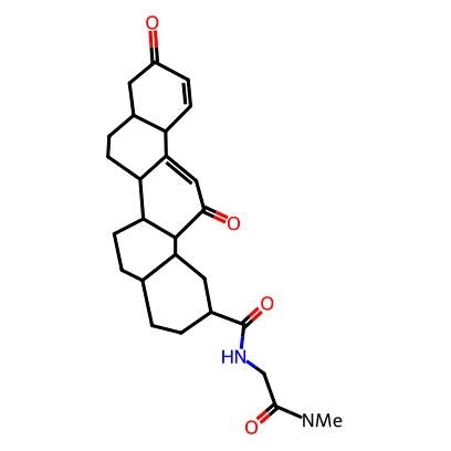 CNC(=O)CNC(=O)C1CCC2CCC3C4CCC5CC(=O)C=CC5C4=CC(=O)C3C2C1